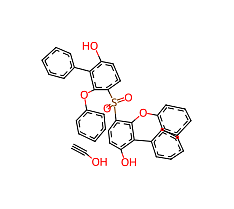 C#CO.O=S(=O)(c1ccc(O)c(-c2ccccc2)c1Oc1ccccc1)c1ccc(O)c(-c2ccccc2)c1Oc1ccccc1